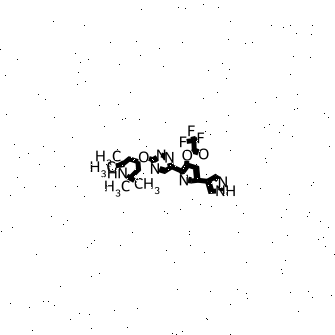 CC1(C)CC(Oc2ncc(-c3ncc(-c4cn[nH]c4)cc3OC(=O)C(F)(F)F)nn2)CC(C)(C)N1